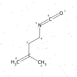 C=C(C)CCN=C=O